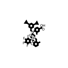 Cc1ccccc1CN(CC(=O)N(Cc1cc(C2CC2)cc(C2CC2)c1)c1ccc(C(=O)O)cc1C)S(=O)(=O)c1c(F)c(F)c(F)c(F)c1Cl